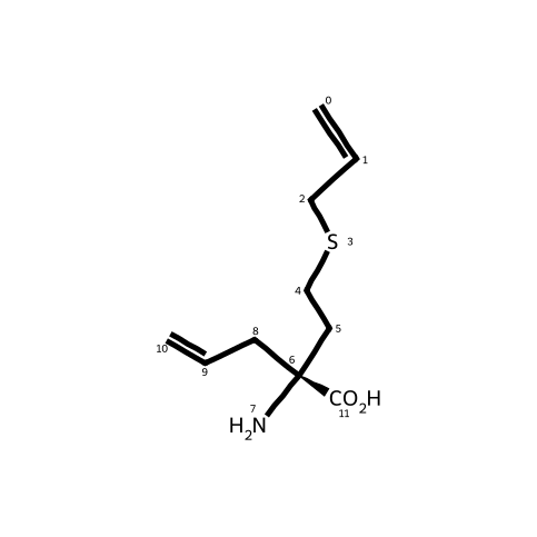 C=CCSCC[C@](N)(CC=C)C(=O)O